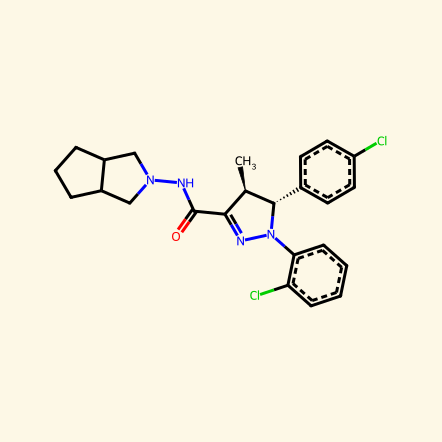 C[C@@H]1C(C(=O)NN2CC3CCCC3C2)=NN(c2ccccc2Cl)[C@H]1c1ccc(Cl)cc1